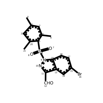 Cc1cc(C)c(S(=O)(=O)n2nc(C=O)c3cc(Br)ccc32)c(C)c1